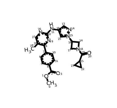 COC(=O)c1ccc(-c2nc(Nc3cnn(C4CN(C(=O)C5CC5)C4)c3)ncc2C)cc1